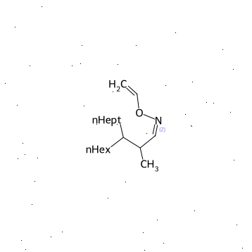 C=CO/N=C\C(C)C(CCCCCC)CCCCCCC